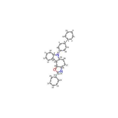 c1ccc(-c2ccc(-n3c4ccccc4c4c5oc(-c6ccccc6)nc5ccc43)cc2)cc1